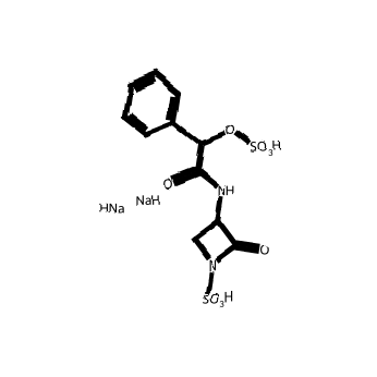 O=C(NC1CN(S(=O)(=O)O)C1=O)C(OS(=O)(=O)O)c1ccccc1.[NaH].[NaH]